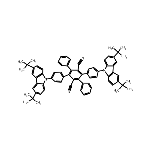 CC(C)(C)c1ccc2c(c1)c1cc(C(C)(C)C)ccc1n2-c1ccc(-c2c(C#N)c(-c3ccccc3)c(-c3ccc(-n4c5ccc(C(C)(C)C)cc5c5cc(C(C)(C)C)ccc54)cc3)c(C#N)c2-c2ccccc2)cc1